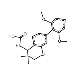 COc1cccc(OC)c1-c1ccc2c(c1)OCC(C)(C)C2NC(=O)O